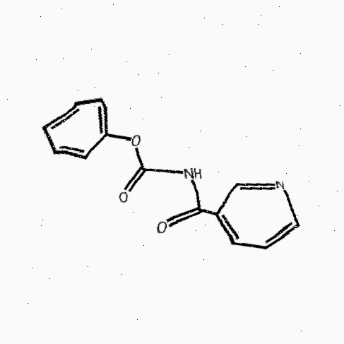 O=C(NC(=O)c1cccnc1)Oc1ccccc1